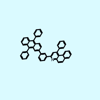 c1ccc(-c2c3ccccc3c(-c3ccccc3)c3cc(-c4cccc(-c5cc(-c6ccccc6)c6c(ccc7ccccc76)n5)c4)ccc23)cc1